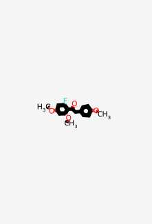 COc1ccc(CC(=O)c2c(F)cc(OC)cc2OC)cc1